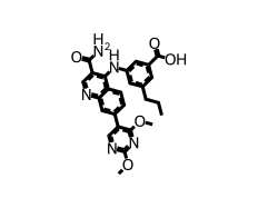 CCCc1cc(Nc2c(C(N)=O)cnc3cc(-c4cnc(OC)nc4OC)ccc23)cc(C(=O)O)c1